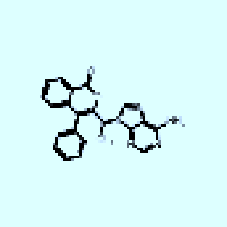 CC(c1oc(=O)c2ccccc2c1-c1ccccc1)n1cnc2c(N)ncnc21